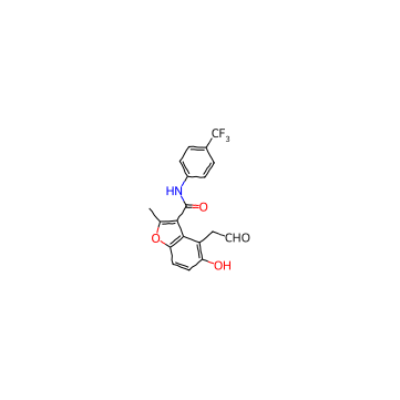 Cc1oc2ccc(O)c(CC=O)c2c1C(=O)Nc1ccc(C(F)(F)F)cc1